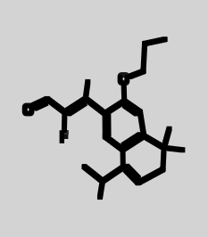 CCCOc1cc2c(cc1C(C)=C(F)C=O)C(C(C)C)=CCC2(C)C